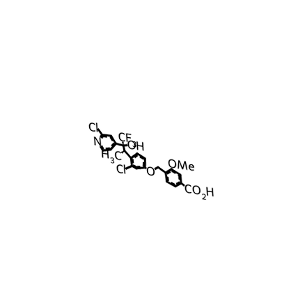 COc1cc(C(=O)O)ccc1COc1ccc([C@@H](C)[C@@](O)(c2ccnc(Cl)c2)C(F)(F)F)c(Cl)c1